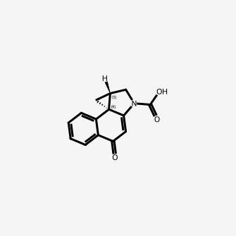 O=C1C=C2N(C(=O)O)C[C@H]3C[C@@]23c2ccccc21